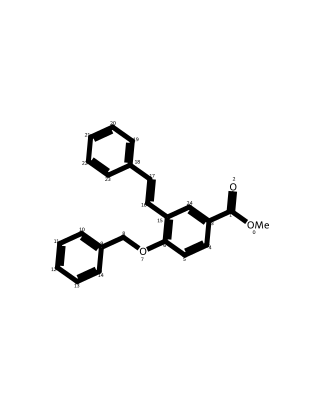 COC(=O)c1ccc(OCc2ccccc2)c(C=Cc2ccccc2)c1